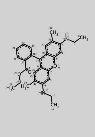 CCNc1cc2[o+]c3cc(NCC)c(C)cc3c(-c3ccccc3C(=O)OCC)c2cc1C